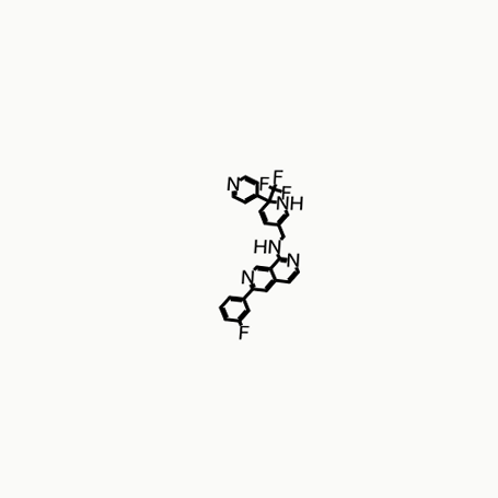 Fc1cccc(-c2cc3ccnc(NCC4=CNC(c5ccncc5)(C(F)(F)F)C=C4)c3cn2)c1